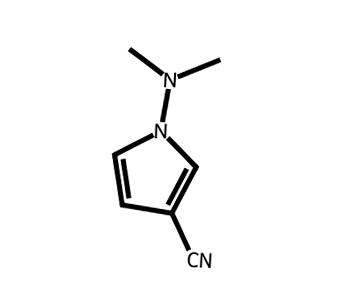 CN(C)n1ccc(C#N)c1